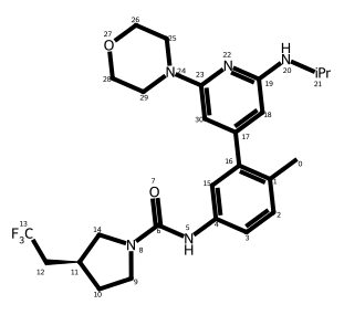 Cc1ccc(NC(=O)N2CC[C@@H](CC(F)(F)F)C2)cc1-c1cc(NC(C)C)nc(N2CCOCC2)c1